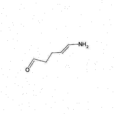 NC=CCCC=O